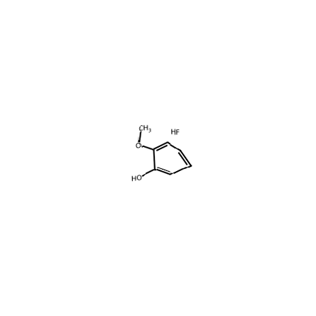 COc1ccccc1O.F